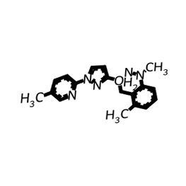 Cc1ccc(-n2ccc(OCc3c(C)cccc3N(C)N)n2)nc1